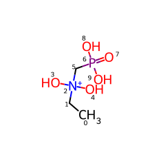 CC[N+](O)(O)CP(=O)(O)O